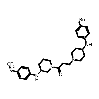 CC(C)(C)c1ccc(NC2CCN(CCC(=O)N3CCC[C@H](Nc4ccc(SC(F)(F)F)cc4)C3)CC2)cc1